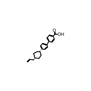 C=CC[C@H]1CC[C@H](c2ccc(-c3ccc(C(=O)O)cc3)cc2)CC1